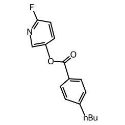 CCCCc1ccc(C(=O)Oc2ccc(F)nc2)cc1